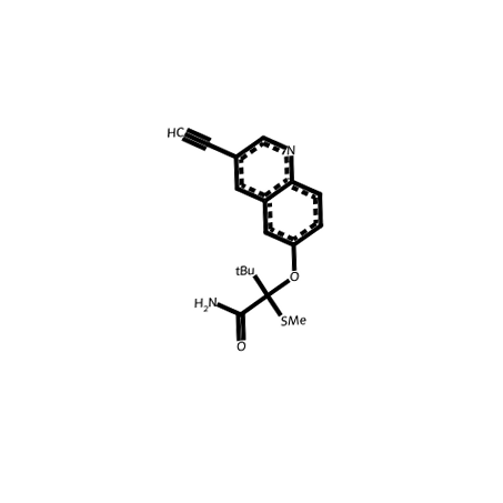 C#Cc1cnc2ccc(OC(SC)(C(N)=O)C(C)(C)C)cc2c1